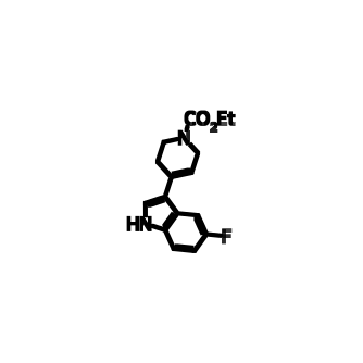 CCOC(=O)N1CC=C(c2c[nH]c3ccc(F)cc23)CC1